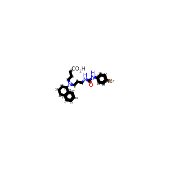 O=C(O)CCCN(CCCNC(=O)Nc1ccc(Br)cc1)[C@@H]1CCCc2ccccc21